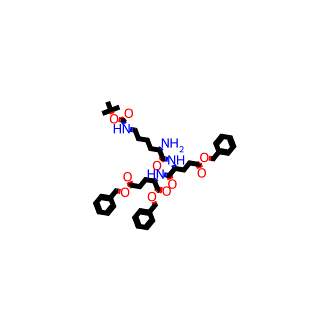 CC(C)(C)OC(=O)NCCCCC(N)C(=O)NC(CCC(=O)OCc1ccccc1)C(=O)NC(CCC(=O)OCc1ccccc1)C(=O)OCc1ccccc1